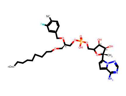 CCCCCCCCCCCCCCCCCCOC[C@H](COP(=O)(O)OCC1O[C@@](C)(c2ccc3c(N)ncnn23)[C@H](O)[C@@H]1O)OCc1ccc(C#N)c(F)c1